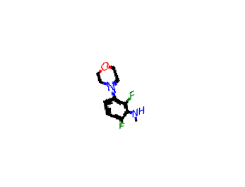 CNc1c(F)ccc(N2CCOCC2)c1F